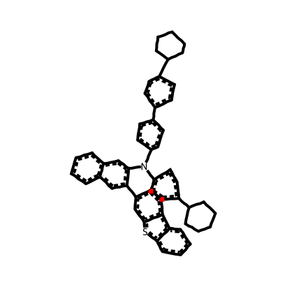 c1ccc2cc(N(c3ccc(-c4ccc(C5CCCCC5)cc4)cc3)c3ccc(C4CCCCC4)cc3)c(-c3ccc4c(c3)sc3ccccc34)cc2c1